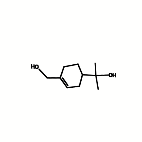 CC(C)(O)C1CC=C(CO)CC1